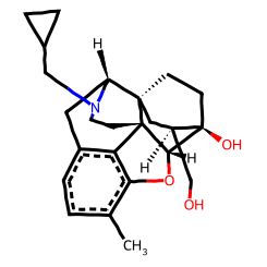 Cc1ccc2c3c1O[C@H]1[C@@]4(O)CC[C@@]5(C[C@@H]4CO)[C@@H](C2)N(CC2CC2)CC[C@]315